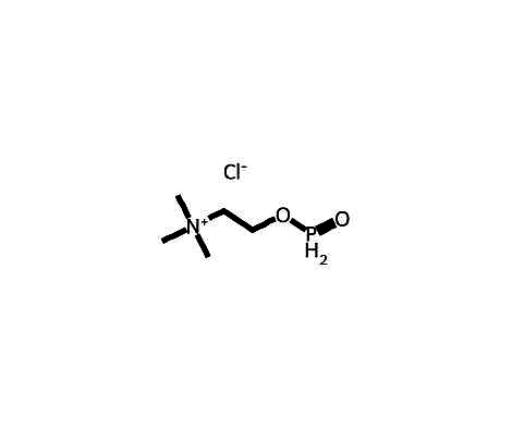 C[N+](C)(C)CCO[PH2]=O.[Cl-]